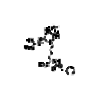 CSC(=N)N/N=C1/C[C@@H]2OC(C)(C)O[C@@H]2CN(CCCC[C@H](NC(=O)OCc2ccccc2)C(=O)O)C1